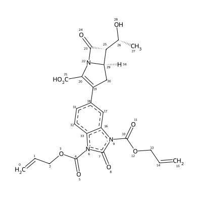 C=CCOC(=O)n1c(=O)n(C(=O)OCC=C)c2cc(C3=C(C(=O)O)N4C(=O)[C@H]([C@@H](C)O)[C@H]4C3)ccc21